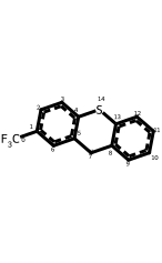 FC(F)(F)c1ccc2c(c1)[C]c1ccccc1S2